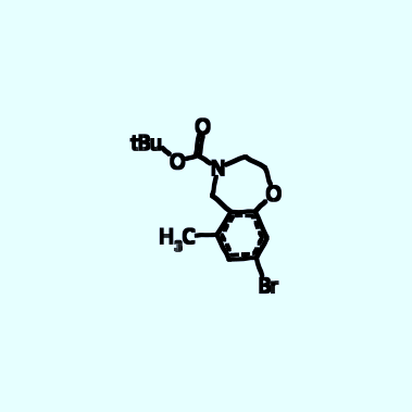 Cc1cc(Br)cc2c1CN(C(=O)OC(C)(C)C)CCO2